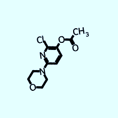 CC(=O)Oc1ccc(N2CCOCC2)nc1Cl